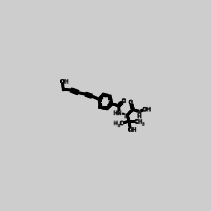 CC(C)(O)[C@H](NC(=O)c1ccc(C#CC#CCO)cc1)C(=O)NO